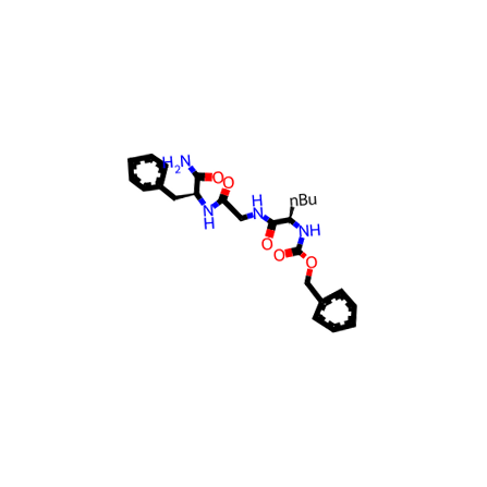 CCCC[C@@H](NC(=O)OCc1ccccc1)C(=O)NCC(=O)N[C@@H](Cc1ccccc1)C(N)=O